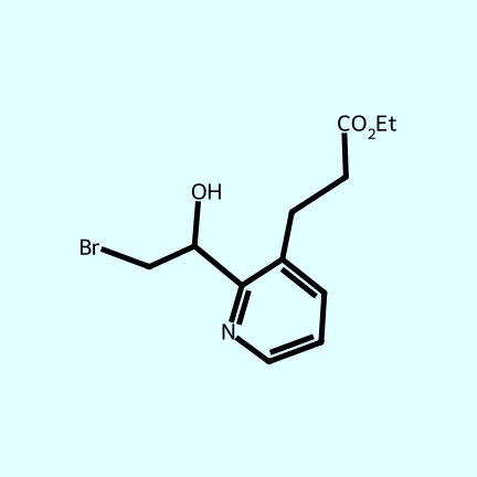 CCOC(=O)CCc1cccnc1C(O)CBr